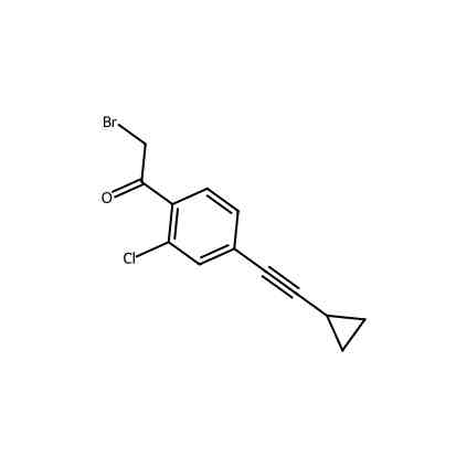 O=C(CBr)c1ccc(C#CC2CC2)cc1Cl